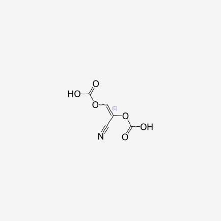 N#C/C(=C\OC(=O)O)OC(=O)O